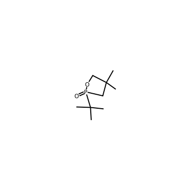 CC1(C)COP(=O)(C(C)(C)C)C1